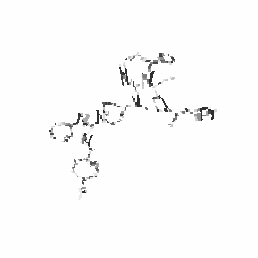 C=C(CC(C)C)OC(C)n1c(N(C)C2CCN(c3nc4ccccc4n3Cc3ccc(F)cc3)CC2)nccc1=O